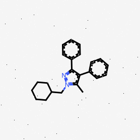 Cc1c(-c2ccccc2)c(-c2ccccc2)nn1CC1CCCCC1